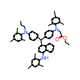 CCCN(c1ccc(C(c2ccc(N(CC(=O)OCC)c3c(C)cc(C)cc3C)cc2)c2ccc(Nc3c(C)cc(C)cc3C)c3ccccc23)cc1)c1c(C)cc(C)cc1C